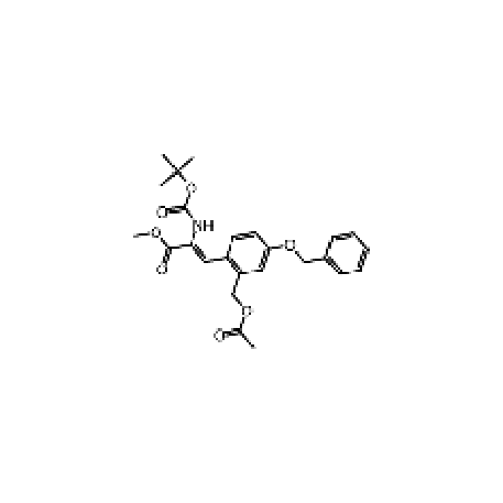 COC(=O)C(=Cc1ccc(OCc2ccccc2)cc1COC(C)=O)NC(=O)OC(C)(C)C